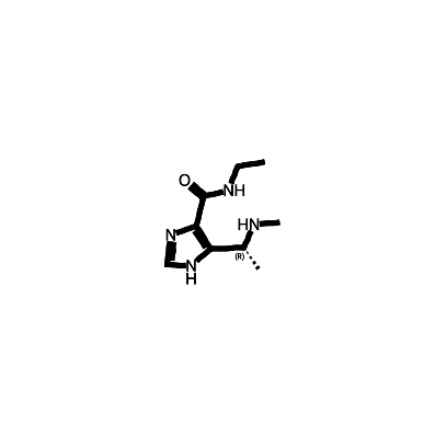 CCNC(=O)c1nc[nH]c1[C@@H](C)NC